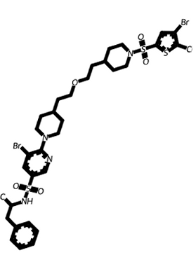 O=C(O)C(Cc1ccccc1)NS(=O)(=O)c1cnc(N2CCC(CCOCCC3CCN(S(=O)(=O)c4cc(Br)c(Cl)s4)CC3)CC2)c(Br)c1